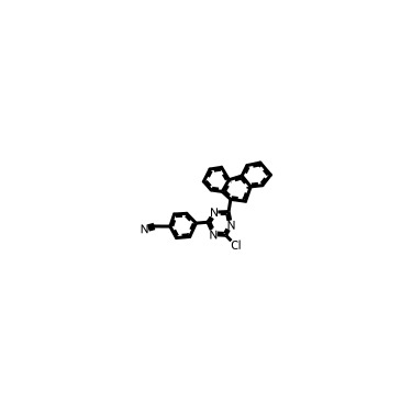 N#Cc1ccc(-c2nc(Cl)nc(-c3cc4ccccc4c4ccccc34)n2)cc1